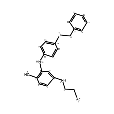 CC(=O)CCNc1ccc(C#N)c(Nc2ccc(OCc3ccccc3)cc2)c1